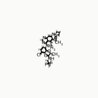 COc1c(N=S2(=O)CCC2)cc2ncnc(Nc3ccc(Cl)cc3O[C@H](C)C(=O)NCC(F)(F)F)c2c1C